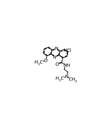 COc1cccc2nc3cccc(C(=O)NCCN(C)C)c3nc12.Cl